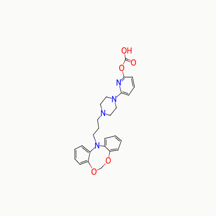 O=C(O)Oc1cccc(N2CCN(CCCN3c4ccccc4OCOc4ccccc43)CC2)n1